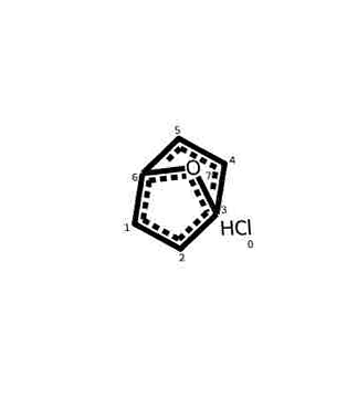 Cl.c1cc2ccc1o2